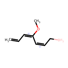 BC/C=C\C(=C/C=C)OC